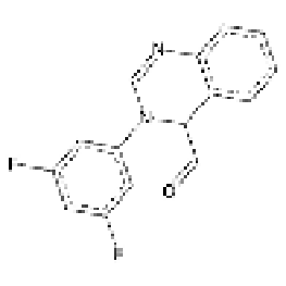 O=CC1c2ccccc2N=CN1c1cc(F)cc(F)c1